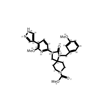 COC(=O)N1CCC2(CC1)CN(c1ccc(-c3cn[nH]c3)c(OC)n1)C(=O)N2Cc1cccc(OC)c1